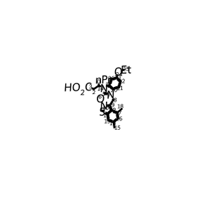 CCCC(CC(=O)O)n1c(=O)n(Cc2nsc3cc(C)cc(C)c23)c2ccc(OCC)cc21